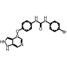 O=C(Nc1ccc(Br)cc1)Nc1ccc(ON2C=NC=C3NNC=C32)cc1